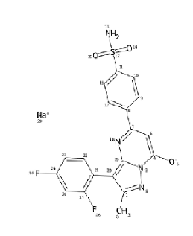 Cc1nn2c([O-])cc(-c3ccc(S(N)(=O)=O)cc3)nc2c1-c1ccc(F)cc1F.[Na+]